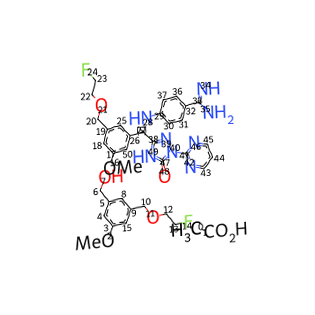 CC(=O)O.COc1cc(CO)cc(COCCF)c1.COc1cc(COCCF)cc([C@H](Nc2ccc(C(=N)N)cc2)c2nn(-c3ncccn3)c(=O)[nH]2)c1